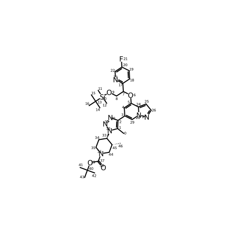 Cc1c(-c2cc(OC(CO[Si](C)(C)C(C)(C)C)c3ccc(F)cn3)c3ccnn3c2)nnn1[C@@H]1CCN(C(=O)OC(C)(C)C)C[C@H]1C